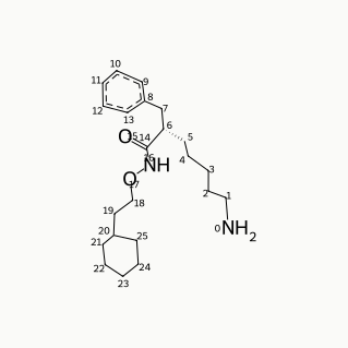 NCCCCC[C@@H](Cc1ccccc1)C(=O)NOCCC1CCCCC1